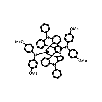 COc1ccc(N(c2ccc(OC)cc2)c2cc3c(s2)C2(c4ccccc4N(c4ccccc4)c4ccccc42)c2cc(N(c4ccc(OC)cc4)c4ccc(OC)cc4)sc2C32c3ccccc3N(c3ccccc3)c3ccccc32)cc1